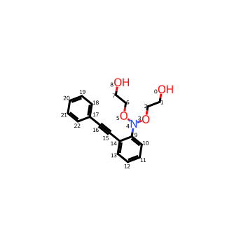 OCCON(OCCO)c1ccccc1C#Cc1ccccc1